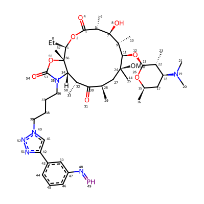 CC[C@H]1OC(=O)[C@H](C)[C@@H](O)[C@H](C)[C@@H](O[C@@H]2O[C@H](C)C[C@H](N(C)C)[C@H]2C)[C@@](C)(OC)C[C@@H](C)C(=O)[C@H](C)[C@@H]2N(CCCCn3cc(-c4cccc(N=P)c4)nn3)C(=O)O[C@@]21C